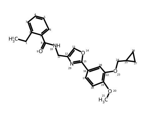 CCc1ccccc1C(=O)NCc1coc(-c2ccc(OC)c(OCC3CC3)c2)n1